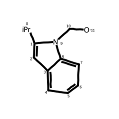 CC(C)c1cc2ccccc2n1C[O]